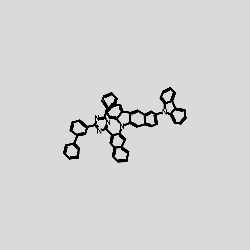 c1ccc(-c2cccc(-c3nc(-c4ccccc4)nc(-c4cc5ccccc5cc4-n4c5ccccc5c5cc6cc(-n7c8ccccc8c8ccccc87)ccc6cc54)n3)c2)cc1